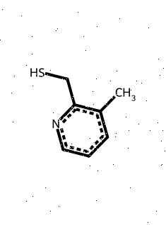 Cc1cccnc1CS